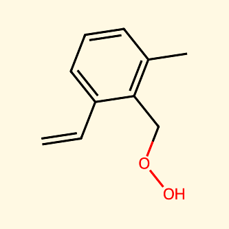 C=Cc1cccc(C)c1COO